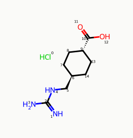 Cl.N=C(N)NC[C@H]1CC[C@H](C(=O)O)CC1